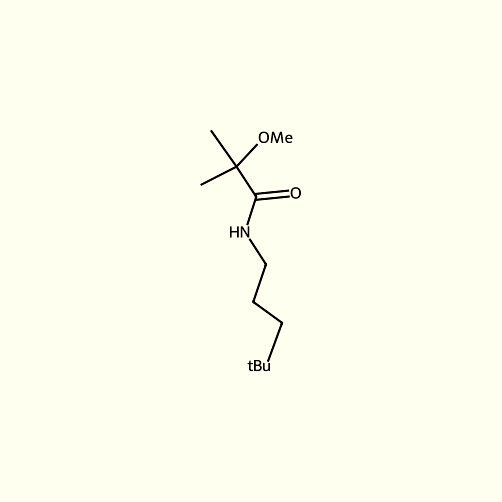 COC(C)(C)C(=O)NCCCC(C)(C)C